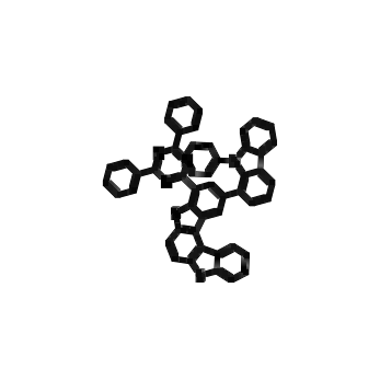 c1ccc(-c2nc(-c3ccccc3)nc(-c3cc(-c4cccc5c6ccccc6n(-c6ccccc6)c45)cc4c3sc3ccc5sc6ccccc6c5c34)n2)cc1